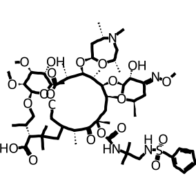 CON=C1C[C@@H](C)O[C@@H](O[C@@H]2[C@@H](C)[C@H](O[C@H]3C[C@H](C)N(C)C[C@H](C)O3)[C@@H](C)C(=O)OCCC(CC(C)(C)[C@H](C(=O)O)C(C)CO[C@@H]3O[C@H](C)[C@@H](O)[C@@H](OC)[C@H]3OC)[C@@H](C)C(=O)[C@@](C)(OC(=O)NC(C)(C)CNS(=O)(=O)c3ccccc3)C[C@@H]2C)[C@@H]1O